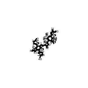 Cc1ccc(-c2c3cc(-c4sc(-c5c(F)c(F)c(-c6cc(C)c(C)s6)c6nsnc56)cc4C)sc3c(-c3ccc(C)s3)c3cc(C)sc23)s1